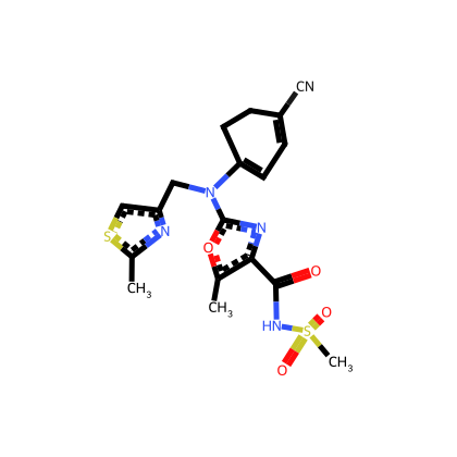 Cc1nc(CN(C2=CC=C(C#N)CC2)c2nc(C(=O)NS(C)(=O)=O)c(C)o2)cs1